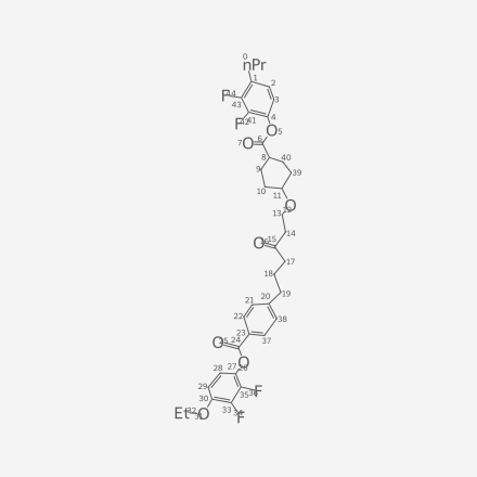 CCCc1ccc(OC(=O)C2CCC(OCCC(=O)CCCc3ccc(C(=O)Oc4ccc(OCC)c(F)c4F)cc3)CC2)c(F)c1F